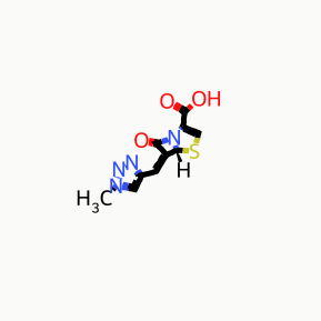 Cn1cc(C=C2C(=O)N3C(C(=O)O)=CS[C@H]23)nn1